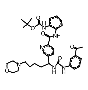 CC(=O)c1cccc(NC(=O)NC(CCCCN2CCOCC2)c2ccc(C(=O)Nc3ccccc3NC(=O)OC(C)(C)C)nc2)c1